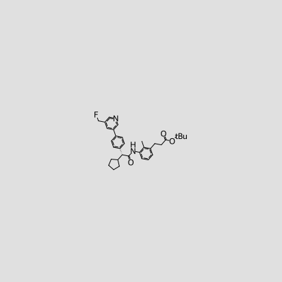 Cc1c(CCC(=O)OC(C)(C)C)cccc1NC(=O)[C@@H](c1ccc(-c2cncc(CF)c2)cc1)C1CCCC1